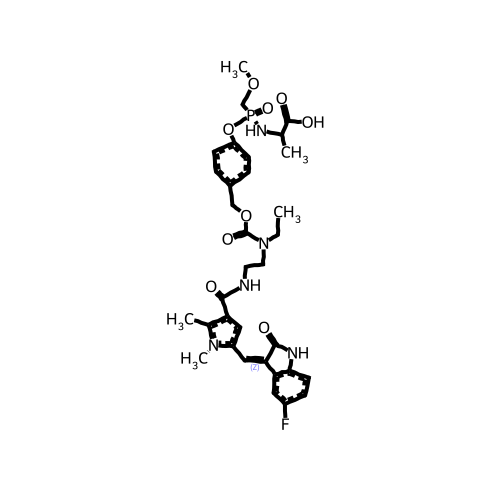 CCN(CCNC(=O)c1cc(/C=C2\C(=O)Nc3ccc(F)cc32)n(C)c1C)C(=O)OCc1ccc(OP(=O)(COC)NC(C)C(=O)O)cc1